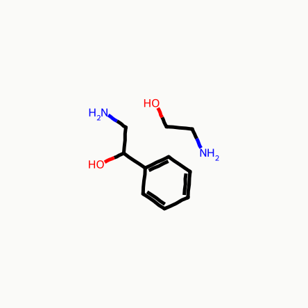 NCC(O)c1ccccc1.NCCO